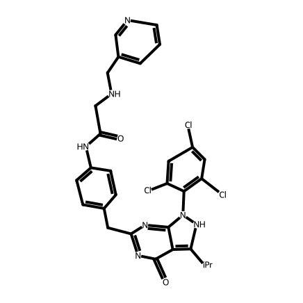 CC(C)c1[nH]n(-c2c(Cl)cc(Cl)cc2Cl)c2nc(Cc3ccc(NC(=O)CNCc4cccnc4)cc3)nc(=O)c1-2